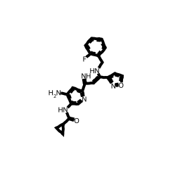 N=C(/C=C(\NCc1ccccc1F)c1ccon1)c1cc(N)c(NC(=O)C2CC2)cn1